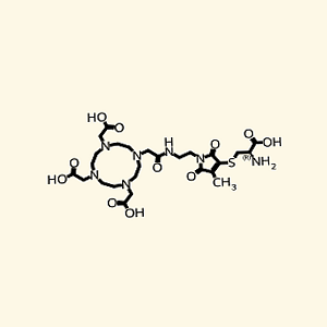 CC1=C(SC[C@H](N)C(=O)O)C(=O)N(CCNC(=O)CN2CCN(CC(=O)O)CCN(CC(=O)O)CCN(CC(=O)O)CC2)C1=O